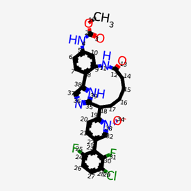 COC(=O)Nc1ccc2c(c1)NC(=O)CCCCC(c1ccc(-c3c(F)ccc(Cl)c3F)c[n+]1[O-])c1ncc-2[nH]1